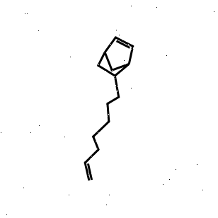 C=CCCCCCC1CC2C=CC1C2